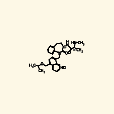 CN[C@@H](C)C(=O)N[C@H]1CCc2ccccc2N(Cc2ccc(COC(C)C)c3ccccc23)C1=O.Cl